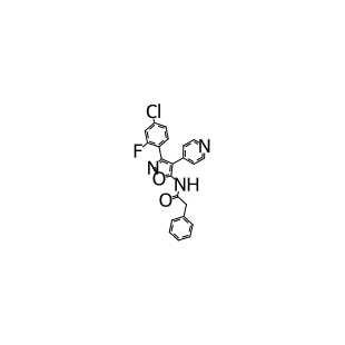 O=C(Cc1ccccc1)Nc1onc(-c2ccc(Cl)cc2F)c1-c1ccncc1